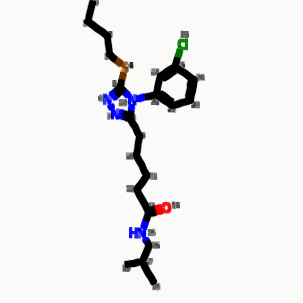 CCCCSc1nnc(CCCCC(=O)NCC(C)C)n1-c1cccc(Cl)c1